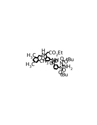 CCOC(=O)CC(NC(=O)Cc1c(C)cc(C)cc1C)c1cccc(NS(=O)(=O)c2cccc(N(C(=O)OC(C)(C)C)C(N)=NC(=O)OC(C)(C)C)c2)c1